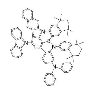 CC1(C)CCC(C)(C)c2cc(N3B4c5cc6c(cc5-n5c7cc8ccccc8cc7c7c(-n8c9ccccc9c9ccccc98)cc(c4c75)-c4ccc(N(c5ccccc5)c5ccccc5)cc43)C(C)(C)CCC6(C)C)ccc21